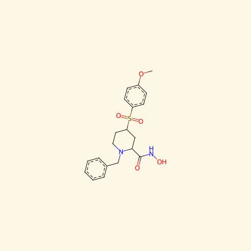 COc1ccc(S(=O)(=O)C2CCN(Cc3ccccc3)C(C(=O)NO)C2)cc1